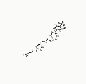 CCCCC[SiH]1CCC(CCCC[C@H]2CC[C@H](c3cc(F)c(C(F)(F)F)c(F)c3)CC2)CC1